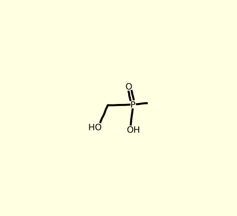 CP(=O)(O)CO